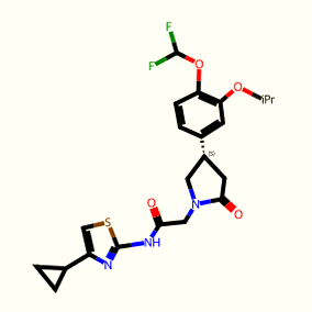 CC(C)Oc1cc([C@@H]2CC(=O)N(CC(=O)Nc3nc(C4CC4)cs3)C2)ccc1OC(F)F